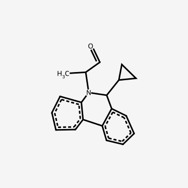 CC(C=O)N1c2ccccc2-c2ccccc2C1C1CC1